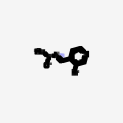 CC(C)(C)[S+]([O-])/N=C/c1ccncc1Br